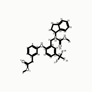 COC(=O)Cc1cccc(Oc2ccc(C(F)(F)F)cc2CN(C(=O)OC)C2CCc3ccccc32)c1